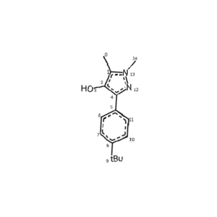 Cc1c(O)c(-c2ccc(C(C)(C)C)cc2)nn1C